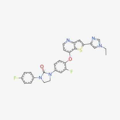 CCn1cnc(-c2cc3nccc(Oc4ccc(N5CCN(c6ccc(F)cc6)C5=O)cc4F)c3s2)c1